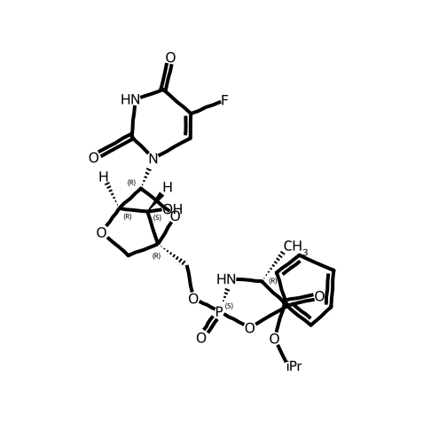 CC(C)OC(=O)[C@@H](C)N[P@](=O)(OC[C@@]12CO[C@@H]([C@H](n3cc(F)c(=O)[nH]c3=O)O1)[C@@H]2O)Oc1ccccc1